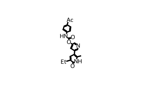 CCc1cc(-c2cncc(OC(=O)Nc3ccc(C(C)=O)cc3)c2)c(C)[nH]c1=O